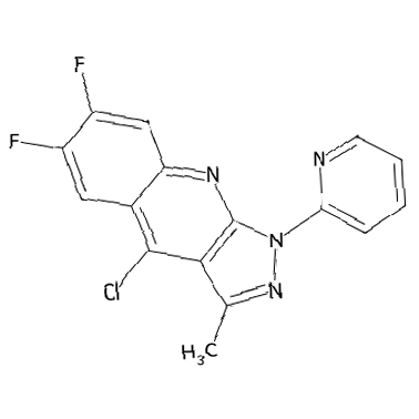 Cc1nn(-c2ccccn2)c2nc3cc(F)c(F)cc3c(Cl)c12